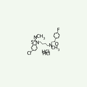 C/N=c1/sc2cc(Cl)ccc2n1CCCCN(C)CC(=O)c1ccc(F)cc1.Cl.Cl